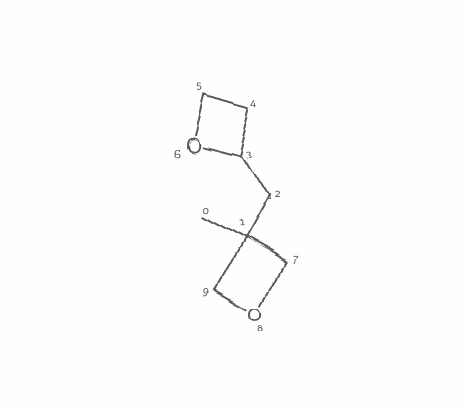 CC1([CH]C2CCO2)COC1